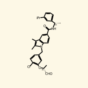 Cc1c(C)n(Cc2ccc(Cl)c(O[C@H](C)C=O)c2)c2ccc(C(=O)N[C@@H](C)c3cccc(C(C)C)c3)cc12